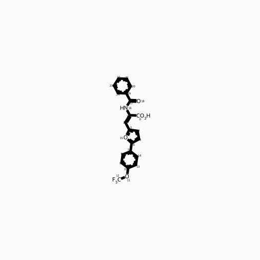 O=C(O)/C(=C\c1ccc(-c2ccc(OC(F)(F)F)cc2)o1)NC(=O)c1ccccc1